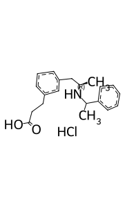 CC(N[C@H](C)Cc1cccc(CCC(=O)O)c1)c1ccccc1.Cl